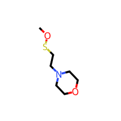 COSCCN1CCOCC1